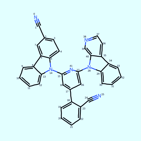 N#Cc1ccc2c(c1)c1ccccc1n2-c1cc(-c2ccccc2C#N)cc(-n2c3ccccc3c3ccncc32)n1